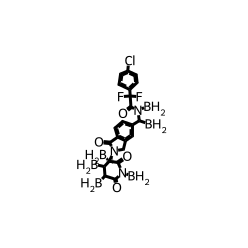 BC1C(=O)N(B)C(=O)[C@@](B)(N2Cc3cc(C(B)N(B)C(=O)C(F)(F)c4ccc(Cl)cc4)ccc3C2=O)C1B